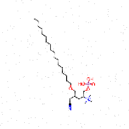 CCCCCCCCCCCCCCCCCCOCC(CC#N)CC(COP(=O)(O)O)[N+](C)(C)C